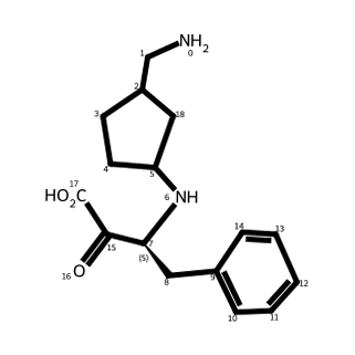 NCC1CCC(N[C@@H](Cc2ccccc2)C(=O)C(=O)O)C1